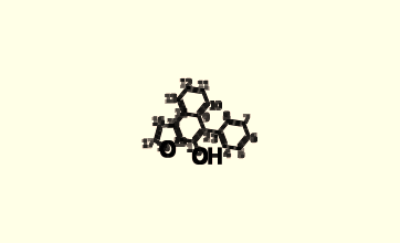 Oc1c(-c2ccccc2)c2ccccc2c2ccoc12